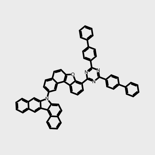 c1ccc(-c2ccc(-c3nc(-c4ccc(-c5ccccc5)cc4)nc(-c4cccc5c4oc4ccc6ccc(-n7c8cc9ccccc9cc8c8c9ccccc9ccc87)cc6c45)n3)cc2)cc1